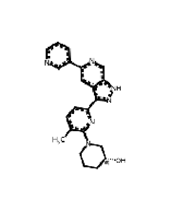 Cc1ccc(-c2n[nH]c3cnc(-c4cccnc4)cc23)nc1N1CCC[C@@H](O)C1